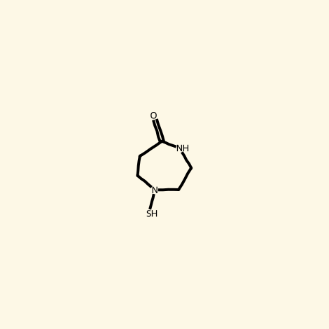 O=C1CCN(S)CCN1